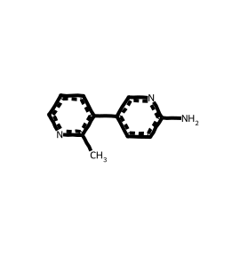 Cc1ncccc1-c1ccc(N)nc1